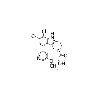 COc1cncc(-c2cc(Cl)c(Cl)c3[nH]c4c(c23)CN(C(=O)CO)CC4)c1